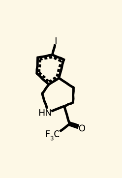 O=C(C1CCc2cc(I)ccc2CN1)C(F)(F)F